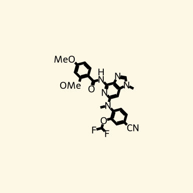 COc1ccc(C(=O)Nc2nc(N(C)c3ccc(C#N)cc3OC(F)F)cc3c2ncn3C)c(OC)c1